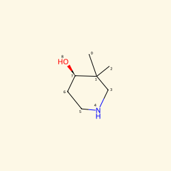 CC1(C)CNCC[C@H]1O